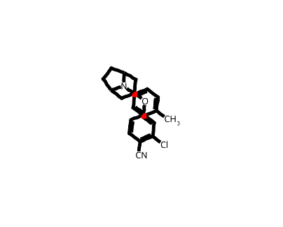 Cc1ccc(N2C3CCC2CC(Oc2ccc(C#N)c(Cl)c2)C3)cc1